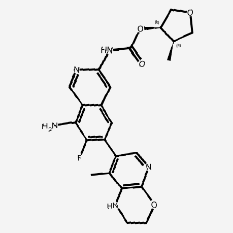 Cc1c(-c2cc3cc(NC(=O)O[C@H]4COC[C@H]4C)ncc3c(N)c2F)cnc2c1NCCO2